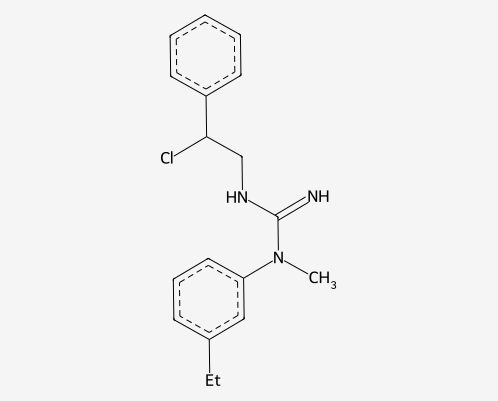 CCc1cccc(N(C)C(=N)NCC(Cl)c2ccccc2)c1